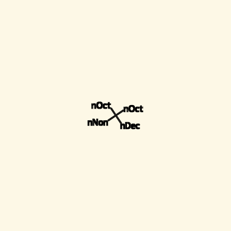 CCCCCCCCCCC(CCCCCCCC)(CCCCCCCC)CCCCCCCCC